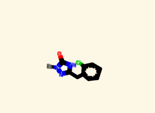 CCn1nc(Cc2ccccc2Cl)[nH]c1=O